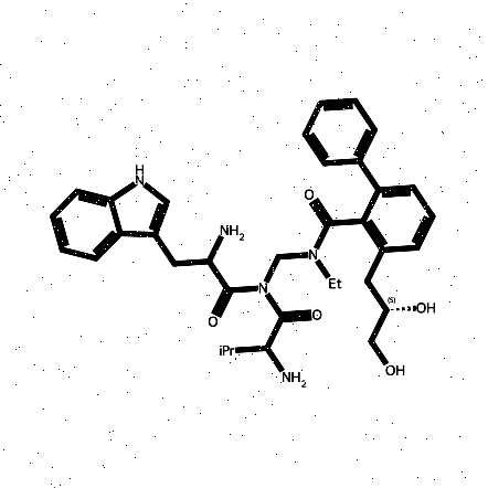 CCN(CN(C(=O)C(N)Cc1c[nH]c2ccccc12)C(=O)C(N)C(C)C)C(=O)c1c(C[C@H](O)CO)cccc1-c1ccccc1